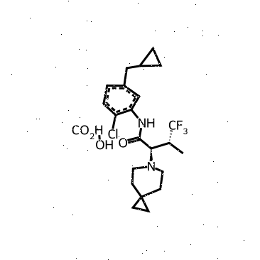 C[C@H]([C@H](C(=O)Nc1cc(CC2CC2)ccc1Cl)N1CCC2(CC1)CC2)C(F)(F)F.O=C(O)O